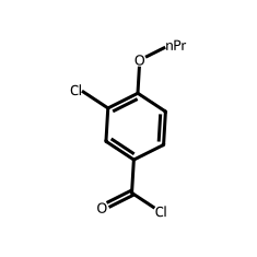 CCCOc1ccc(C(=O)Cl)cc1Cl